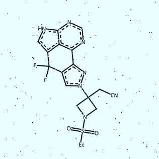 CCS(=O)(=O)N1CC(CC#N)(n2cc3c(n2)-c2ncnc4[nH]cc(c24)C3(F)F)C1